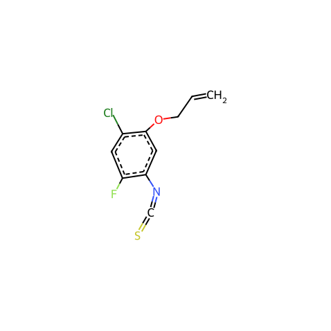 C=CCOc1cc(N=C=S)c(F)cc1Cl